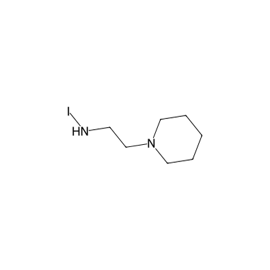 INCCN1CCCCC1